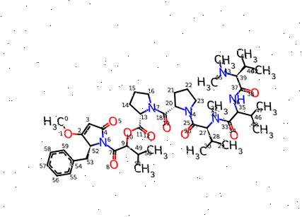 COC1=CC(=O)N(C(=O)C(OC(=O)[C@@H]2CCCN2C(=O)[C@@H]2CCCN2C(=O)[C@H](C(C)C)N(C)C(=O)C(NC(=O)[C@H](C(C)C)N(C)C)C(C)C)C(C)C)[C@H]1Cc1ccccc1